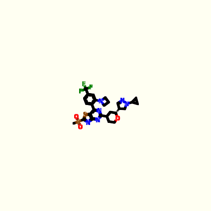 CS(=O)(=O)c1nc2nc(C3CCO[C@@H](C4C=NN(C5CC5)C4)C3)nc(-c3ccc(C(F)(F)F)cc3N3CCC3)c2s1